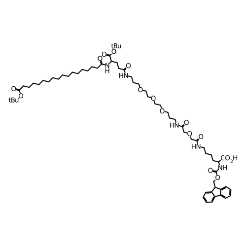 CC(C)(C)OC(=O)CCCCCCCCCCCCCCCCC(=O)NC(CCC(=O)NCCCOCCOCCOCCCNC(=O)COCC(=O)NCCCCC(NC(=O)OCC1c2ccccc2-c2ccccc21)C(=O)O)C(=O)OC(C)(C)C